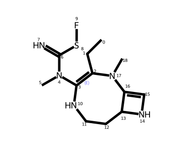 CC/C1=C(\N(C)C(=N)SF)NCCC2NC=C2N1C